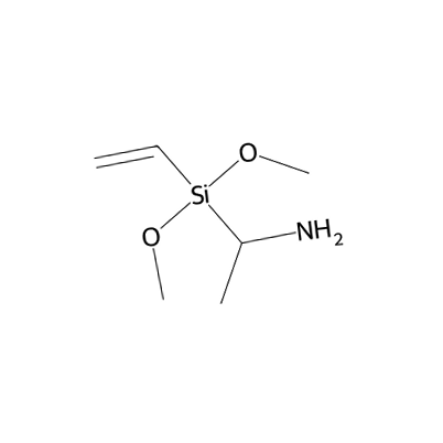 C=C[Si](OC)(OC)C(C)N